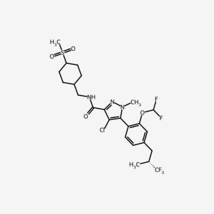 C[C@H](Cc1ccc(-c2c(Cl)c(C(=O)NCC3CCC(S(C)(=O)=O)CC3)nn2C)c(OC(F)F)c1)C(F)(F)F